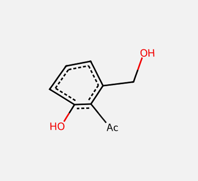 CC(=O)c1c(O)cccc1CO